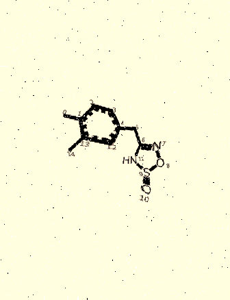 Cc1ccc(CC2=NOS(=O)N2)cc1C